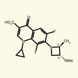 CN[C@@H]1CN(c2c(F)cc3c(=O)c(C(=O)O)cn(C4CC4)c3c2F)[C@H]1C